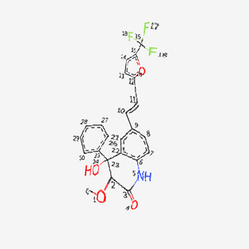 COC1C(=O)Nc2ccc(C=Cc3ccc(C(F)(F)F)o3)cc2C1(O)c1ccccc1